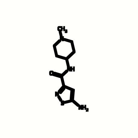 CN1CCC(NC(=O)c2cc(N)sn2)CC1